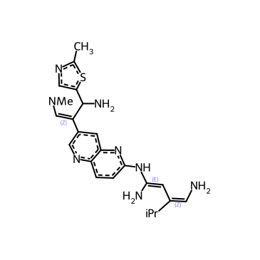 CN/C=C(/c1cnc2ccc(N/C(N)=C/C(=C\N)C(C)C)nc2c1)C(N)c1cnc(C)s1